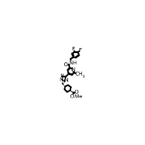 COC(=O)[C@H]1CC[C@H](Cn2nnc(-c3cc(C)nc(C(=O)NCc4ccc(F)c(F)c4)c3)n2)CC1